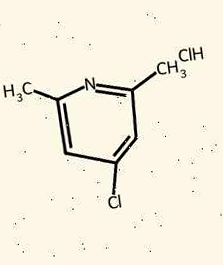 Cc1cc(Cl)cc(C)n1.Cl